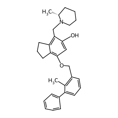 Cc1c(COc2cc(O)c(CN3CCCC[C@H]3C)c3c2CCC3)cccc1-c1ccccc1